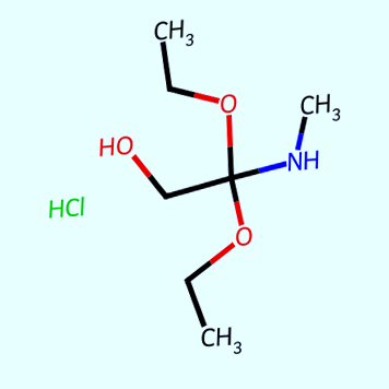 CCOC(CO)(NC)OCC.Cl